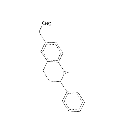 O=CCc1ccc2c(c1)CCC(c1ccccc1)N2